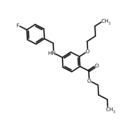 CCCCOC(=O)c1ccc(NCc2ccc(F)cc2)cc1OCCCC